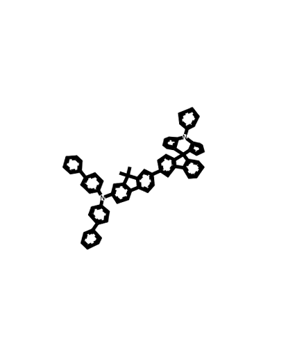 CC1(C)c2cc(-c3ccc4c(c3)-c3ccccc3C43c4ccccc4N(c4ccccc4)c4ccccc43)ccc2-c2ccc(N(c3ccc(-c4ccccc4)cc3)c3ccc(-c4ccccc4)cc3)cc21